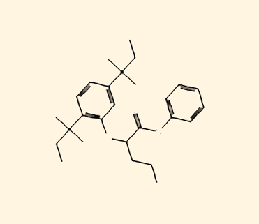 CCCC(Oc1cc(C(C)(C)CC)ccc1C(C)(C)CC)C(=O)Nc1[c]cccc1